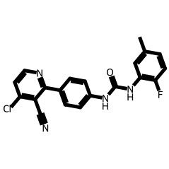 Cc1ccc(F)c(NC(=O)Nc2ccc(-c3nccc(Cl)c3C#N)cc2)c1